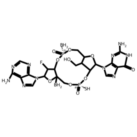 BC12CO[P@@](=O)(S)OC3C(CO)C(CO[P@](B)(=O)OC1C(F)C(n1cnc4c(N)ncnc41)O2)OC3n1cnc2c(=O)[nH]c(N)nc21